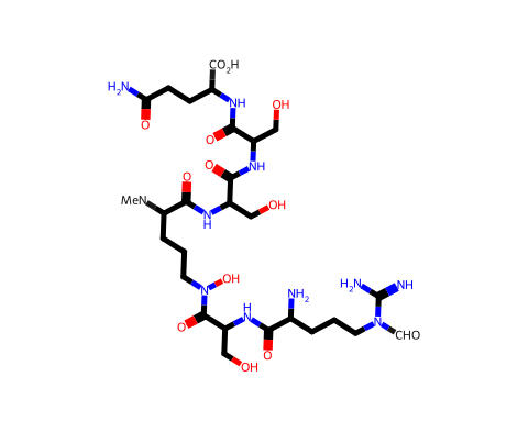 CNC(CCCN(O)C(=O)C(CO)NC(=O)C(N)CCCN(C=O)C(=N)N)C(=O)NC(CO)C(=O)NC(CO)C(=O)NC(CCC(N)=O)C(=O)O